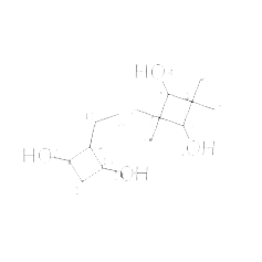 CC1(C)C(O)C(C)(C)C1O.CCC1C(O)CC1O